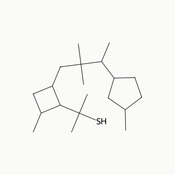 CC1CCC(C(C)C(C)(C)CC2CC(C)C2C(C)(C)S)C1